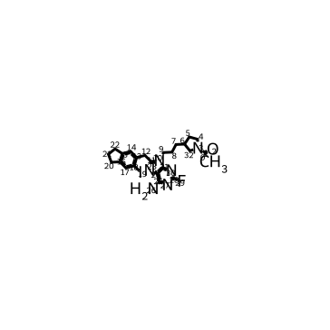 CC(=O)N1CCC(CCCn2c(Cc3cc4c(cc3I)CCC4)nc3c(N)nc(F)nc32)C1